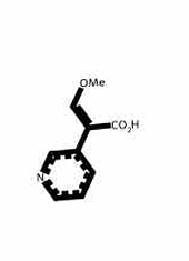 COC=C(C(=O)O)c1cccnc1